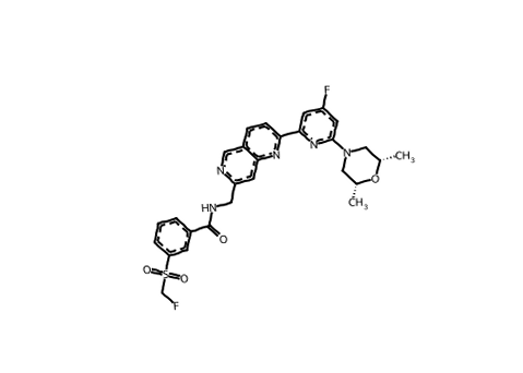 C[C@@H]1CN(c2cc(F)cc(-c3ccc4cnc(CNC(=O)c5cccc(S(=O)(=O)CF)c5)cc4n3)n2)C[C@H](C)O1